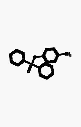 Nc1ccc(OP(=O)(c2ccccc2)c2ccccc2)cc1